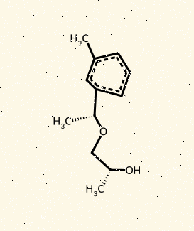 Cc1cc[c]c([C@@H](C)OC[C@@H](C)O)c1